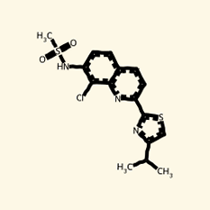 CC(C)c1csc(-c2c[c]c3ccc(NS(C)(=O)=O)c(Cl)c3n2)n1